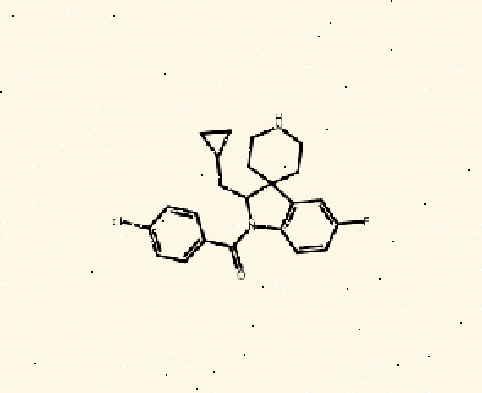 O=C(c1ccc(Cl)cc1)N1c2ccc(F)cc2C2(CCNCC2)C1CC1CC1